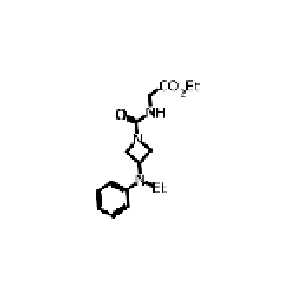 CCOC(=O)CNC(=O)N1CC(N(CC)c2ccccc2)C1